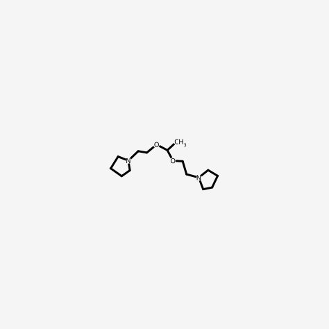 CC(OCCN1CCCC1)OCCN1CCCC1